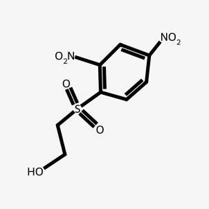 O=[N+]([O-])c1ccc(S(=O)(=O)CCO)c([N+](=O)[O-])c1